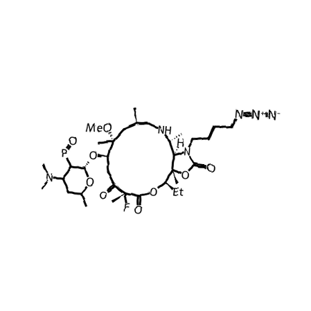 CC[C@H]1OC(=O)[C@](C)(F)C(=O)C[C@@H](O[C@@H]2OC(C)CC(N(C)C)C2P=O)[C@](C)(OC)C[C@@H](C)CN[C@H](C)[C@H]2N(CCCCN=[N+]=[N-])C(=O)O[C@]12C